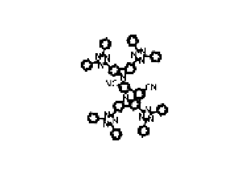 N#Cc1cccc(-c2cc(-n3c4ccc(-c5nc(-c6ccccc6)nc(-c6ccccc6)n5)cc4c4cc(-c5nc(-c6ccccc6)nc(-c6ccccc6)n5)ccc43)c(C#N)cc2-n2c3ccc(-c4nc(-c5ccccc5)nc(-c5ccccc5)n4)cc3c3cc(-c4nc(-c5ccccc5)nc(-c5ccccc5)n4)ccc32)c1